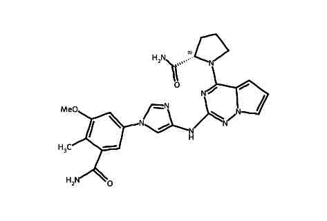 COc1cc(-n2cnc(Nc3nc(N4CCC[C@H]4C(N)=O)c4cccn4n3)c2)cc(C(N)=O)c1C